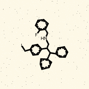 Fc1ccccc1CNCC(c1ccc(CI)cc1)C(c1ccccc1)c1ccccc1